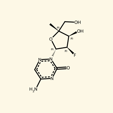 C[C@]1(CO)O[C@@H](n2ncc(N)nc2=O)[C@H](F)[C@@H]1O